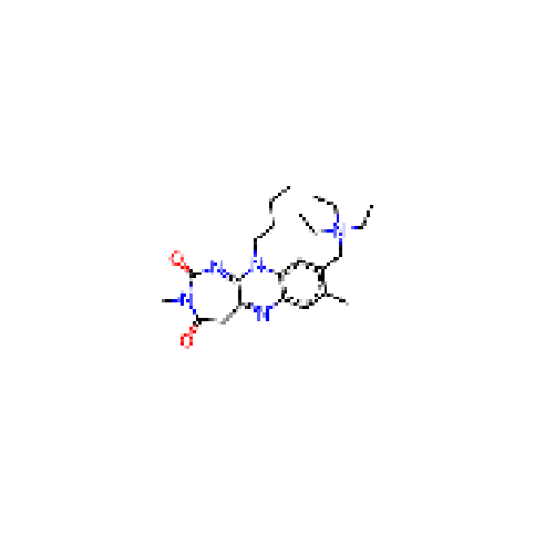 CCCCN1C2=NC(=O)N(C)C(=O)CC2=Nc2cc(C)c(C[N+](CC)(CC)CC)cc21